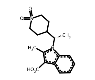 Cc1c(C(=O)O)c2ccccc2n1[C@@H](C)C1CCS(=O)(=O)CC1